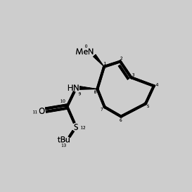 CN[C@H]1/C=C/CCCC[C@H]1NC(=O)SC(C)(C)C